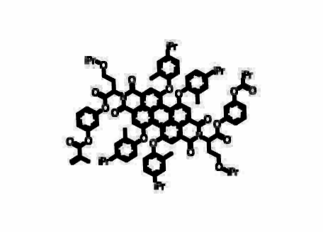 C=C(C)C(=O)Oc1cccc(OC(=O)C(CCOC(C)C)N2C(=O)c3cc(Oc4ccc(C(C)C)cc4C)c4c5c(Oc6ccc(C(C)C)cc6C)cc6c7c(cc(Oc8ccc(C(C)C)cc8C)c(c8c(Oc9ccc(C(C)C)cc9C)cc(c3c48)C2=O)c75)C(=O)N(C(CCOC(C)C)C(=O)Oc2cccc(OC(=O)C(C)C)c2)C6=O)c1